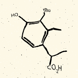 Cc1c(C(C)C(=O)O)ccc(O)c1C(C)(C)C